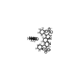 O.O.O.O=S(=O)([O-])c1cnc2c(ccc3c(-c4ccccc4)c(S(=O)(=O)[O-])cnc32)c1-c1ccccc1.[Na+].[Na+]